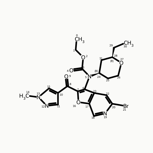 CCOC(=O)N(c1c(C(=O)c2cnn(C)c2)oc2cnc(Br)cc12)[C@@H]1CCO[C@H](CC)C1